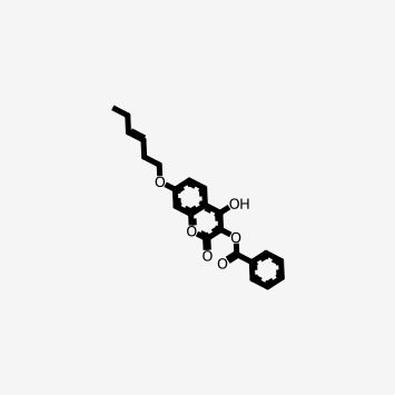 CCC=CCCOc1ccc2c(O)c(OC(=O)c3ccccc3)c(=O)oc2c1